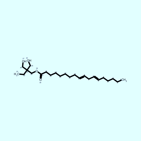 CCCCC/C=C/C/C=C/CCCCCCCC(=O)OCC(CC)(CO)CO